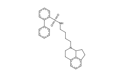 O=S(=O)(NCCCCN1CCc2cccc3c2C1CC3)c1ccccc1-c1ccccc1